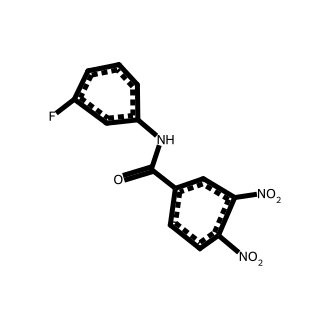 O=C(Nc1cccc(F)c1)c1ccc([N+](=O)[O-])c([N+](=O)[O-])c1